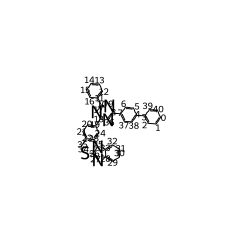 c1ccc(-c2ccc(-c3nc(-c4ccccc4)nc(-c4ccc5c(c4)-n4c(nc6ccccc64)SC5)n3)cc2)cc1